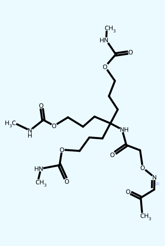 CNC(=O)OCCCC(CCCOC(=O)NC)(CCCOC(=O)NC)NC(=O)CO/N=C\C(C)=O